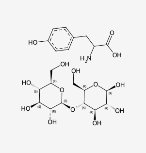 NC(Cc1ccc(O)cc1)C(=O)O.OC[C@H]1O[C@@H](O[C@H]2[C@H](O)[C@@H](O)[C@H](O)O[C@@H]2CO)[C@H](O)[C@@H](O)[C@@H]1O